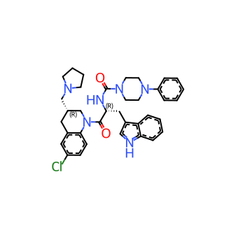 O=C(N[C@H](Cc1c[nH]c2ccccc12)C(=O)N1C[C@@H](CN2CCCC2)Cc2cc(Cl)ccc21)N1CCN(c2ccccc2)CC1